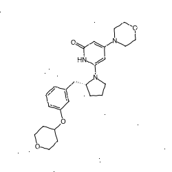 O=c1cc(N2CCOCC2)cc(N2CCC[C@@H]2Cc2cccc(OC3CCOCC3)c2)[nH]1